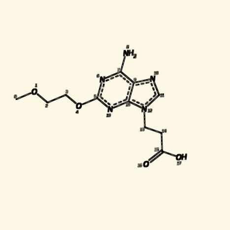 COCCOc1nc(N)c2ncn(CCC(=O)O)c2n1